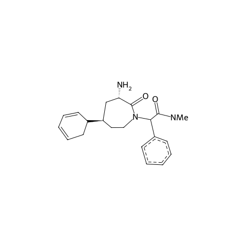 CNC(=O)C(c1ccccc1)N1CC[C@@H](C2C=CC=CC2)C[C@H](N)C1=O